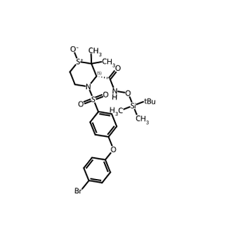 CC1(C)[C@H](C(=O)NO[Si](C)(C)C(C)(C)C)N(S(=O)(=O)c2ccc(Oc3ccc(Br)cc3)cc2)CC[S+]1[O-]